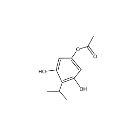 CC(=O)Oc1cc(O)c(C(C)C)c(O)c1